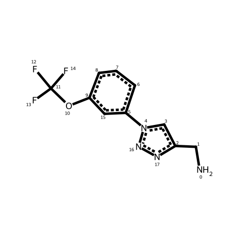 NCc1cn(-c2cccc(OC(F)(F)F)c2)nn1